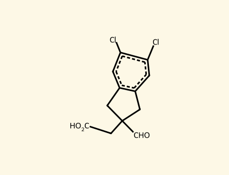 O=CC1(CC(=O)O)Cc2cc(Cl)c(Cl)cc2C1